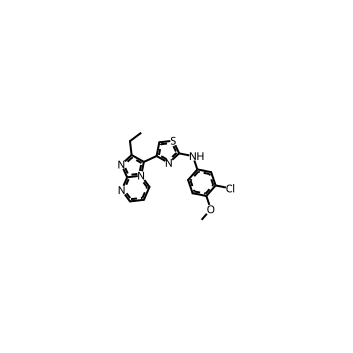 CCc1nc2ncccn2c1-c1csc(Nc2ccc(OC)c(Cl)c2)n1